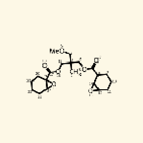 COCC(C)(COC(=O)C1CCCC2OC21)COC(=O)C12CCCCC1O2